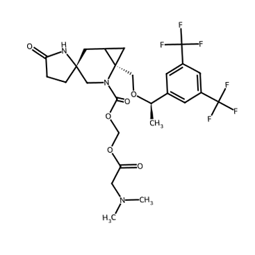 C[C@@H](OC[C@@]12CC1C[C@]1(CCC(=O)N1)CN2C(=O)OCOC(=O)CN(C)C)c1cc(C(F)(F)F)cc(C(F)(F)F)c1